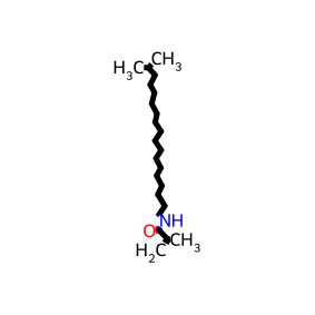 C=C(C)C(=O)NCCCCCCCCCCCCCCCCC(C)C